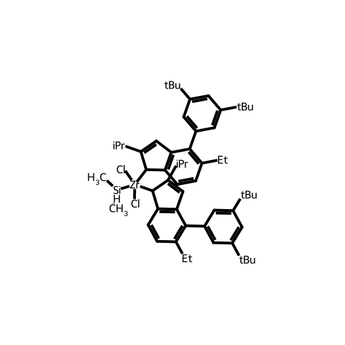 CCc1ccc2c(c1-c1cc(C(C)(C)C)cc(C(C)(C)C)c1)C=C(C(C)C)[CH]2[Zr]([Cl])([Cl])([CH]1C(C(C)C)=Cc2c1ccc(CC)c2-c1cc(C(C)(C)C)cc(C(C)(C)C)c1)[SiH](C)C